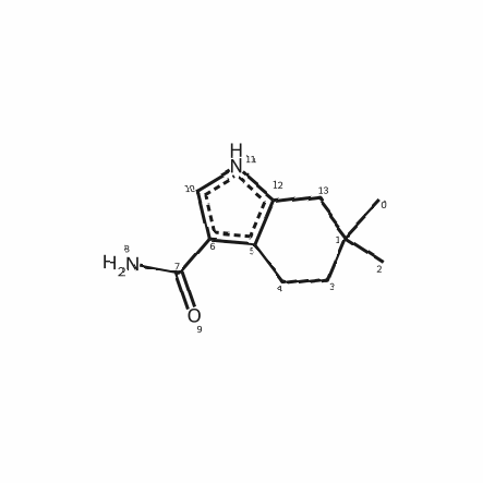 CC1(C)CCc2c(C(N)=O)c[nH]c2C1